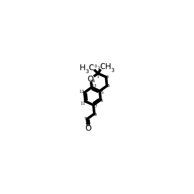 CC1(C)CCc2cc(CC=O)ccc2O1